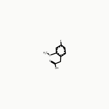 COc1cc(F)ccc1CC(=O)O